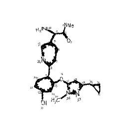 CNC(=O)C(N)c1ccc(-c2ccc(C#N)cc2Oc2cc(C3CC3)nn2C)nc1